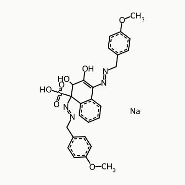 COc1ccc(CN=NC2=C(O)C(O)C(N=NCc3ccc(OC)cc3)(S(=O)(=O)O)c3ccccc32)cc1.[Na]